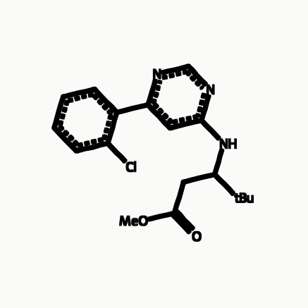 COC(=O)CC(Nc1cc(-c2ccccc2Cl)ncn1)C(C)(C)C